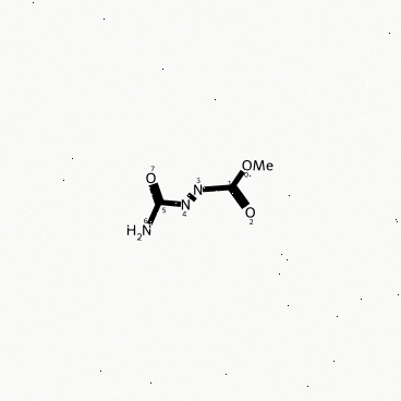 COC(=O)N=NC(N)=O